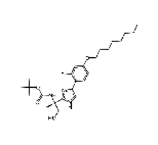 CCCCCCCCOc1ccc(-c2c[nH]c([C@](C)(CO)NC(=O)OC(C)(C)C)n2)c(F)c1